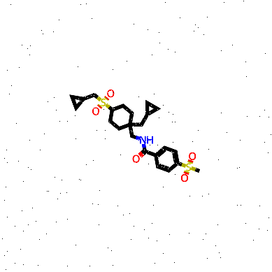 CS(=O)(=O)c1ccc(C(=O)NCC2(CC3CC3)CCC(S(=O)(=O)CC3CC3)CC2)cc1